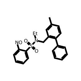 CCN(Cc1cc(C)ccc1-c1ccccc1)S(=O)(=O)c1ccccc1N=O